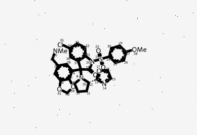 CNCc1cc2c(c(C3(N4CCC[C@H]4c4ncco4)C(=O)N(S(=O)(=O)c4ccc(OC)cc4)c4ccc(Cl)cc43)c1)OCO2